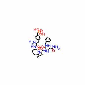 NC(=O)CC[C@H](NC(=O)[C@@H]1CC[C@@H]2CCCC[C@H](NC(=O)[C@@H](N)Cc3ccc(CP(=O)(O)O)cc3)C(=O)N21)C(=O)NCc1ccccc1